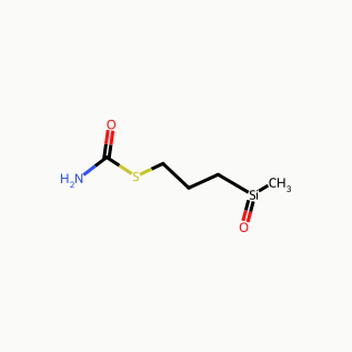 C[Si](=O)CCCSC(N)=O